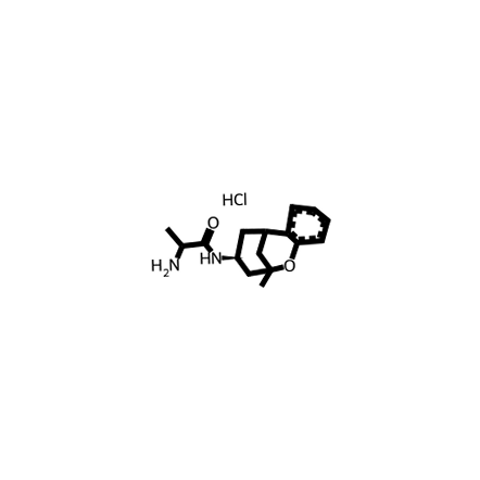 CC(N)C(=O)N[C@H]1CC2CC(C)(C1)Oc1ccccc12.Cl